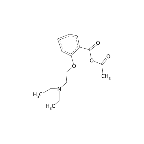 CCN(CC)CCOc1ccccc1C(=O)OC(C)=O